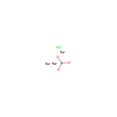 Cl.[Na+].[Na+].[Na+].[O-]B([O-])[O-]